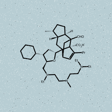 CCN(CC)CCN(C)CCN(CC)C[C@@H]1O[C@@H](C23C[C@@H]4[C@H](C)CC[C@H]4C4(C=O)CC2C=C(C(C)C)[C@]43C(=O)O)C[C@H]1C1CCCCC1